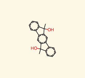 CC1(O)c2ccccc2-c2cc3c(cc21)-c1ccccc1C3(C)O